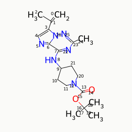 C=C(C)c1cnc2c(NC3CCN(C(=O)OC(C)(C)C)CC3)nc(C)nn12